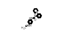 CONc1ccc(NC(=O)Nc2ccccc2N2CCCCC2)cc1